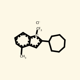 Cc1cccc2c1cc(C1CCCCCC1)[s+]2C(F)(F)F.[Cl-]